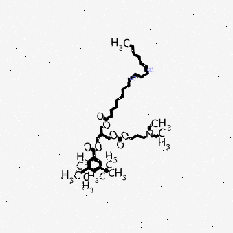 CCCCC/C=C\C/C=C\CCCCCCCC(=O)OCC(COC(=O)OCCCN(CC)CC)COC(=O)c1cc(C(C)(C)C)cc(C(C)(C)C)c1